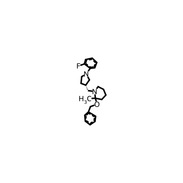 CC1(OCc2ccccc2)CCCCN1C[C@@H]1CCN(c2ccccc2F)C1